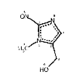 Cn1c(CO)cnc1N=O